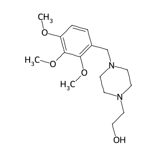 COc1ccc(CN2CCN(CCO)CC2)c(OC)c1OC